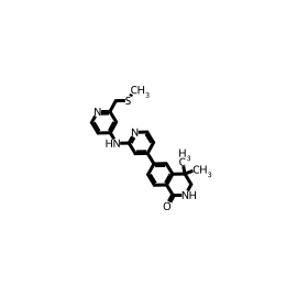 CSCc1cc(Nc2cc(-c3ccc4c(c3)C(C)(C)CNC4=O)ccn2)ccn1